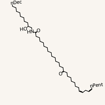 CCCCC/C=C\C/C=C\CCCCCCCC(=O)CCCCCCCCCCCCCCC(=O)NCC(O)CCCCCCCCCCCCCCCCCC